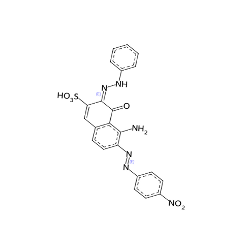 Nc1c(/N=N/c2ccc([N+](=O)[O-])cc2)ccc2c1C(=O)/C(=N\Nc1ccccc1)C(S(=O)(=O)O)=C2